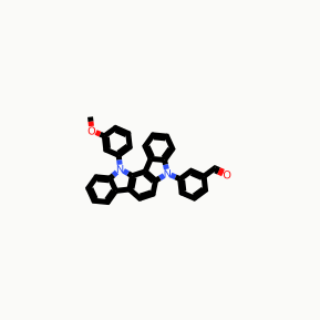 COc1cccc(-n2c3ccccc3c3ccc4c(c5ccccc5n4-c4cccc(C=O)c4)c32)c1